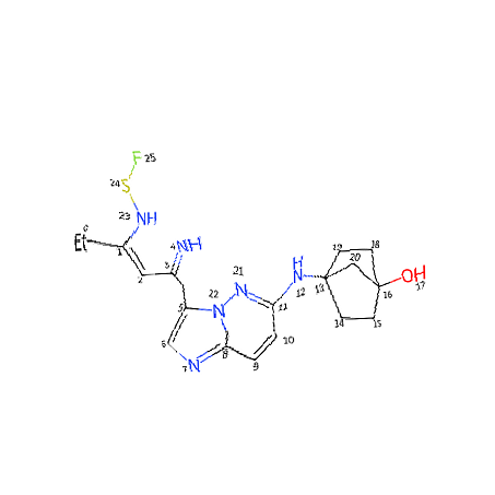 CC/C(=C/C(=N)c1cnc2ccc(NC34CCC(O)(CC3)C4)nn12)NSF